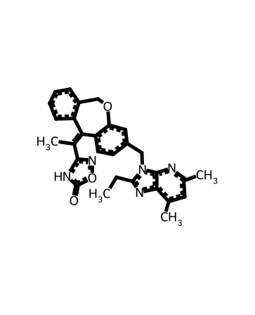 CCc1nc2c(C)cc(C)nc2n1Cc1ccc2c(c1)OCc1ccccc1/C2=C(\C)c1noc(=O)[nH]1